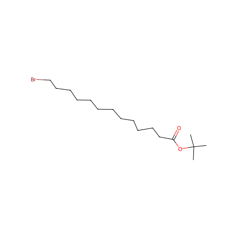 CC(C)(C)OC(=O)CCCCCCCCCCCCBr